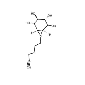 C#CCCCCN1[C@@H]2[C@H](O)[C@@H](O)[C@H](O)[C@@H](O)[C@@H]21